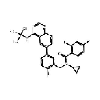 CC(C)(C)Nc1ncnc2ccc(-c3ccc(F)c(CN(C(=O)c4ccc(F)cc4F)C4CC4)c3)cc12